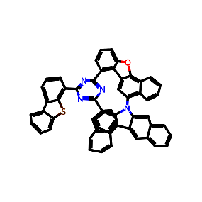 c1ccc(-c2nc(-c3cccc4c3sc3ccccc34)nc(-c3cccc4oc5c6ccccc6c(-n6c7cc8ccccc8cc7c7c8ccccc8ccc76)cc5c34)n2)cc1